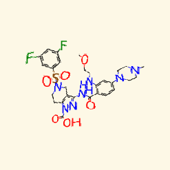 COCCNc1cc(N2CCN(C)CC2)ccc1C(=O)Nc1nn(C(=O)O)c2c1CN(S(=O)(=O)c1cc(F)cc(F)c1)CC2